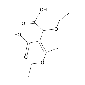 CCOC(C)=C(C(=O)O)C(OCC)C(=O)O